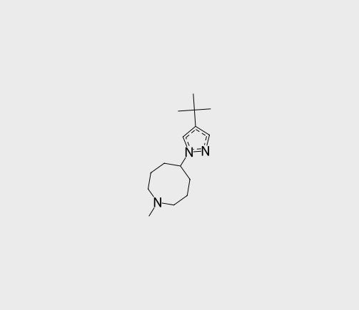 CN1CCCC(n2cc(C(C)(C)C)cn2)CCC1